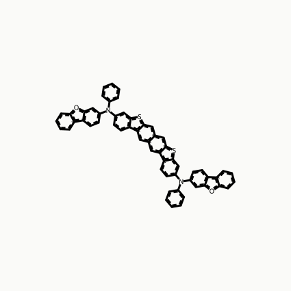 c1ccc(N(c2ccc3c(c2)oc2ccccc23)c2ccc3c(c2)sc2cc4cc5sc6cc(N(c7ccccc7)c7ccc8c(c7)oc7ccccc78)ccc6c5cc4cc23)cc1